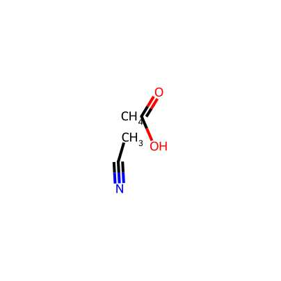 C.CC#N.O=CO